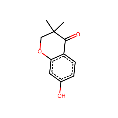 CC1(C)COc2cc(O)ccc2C1=O